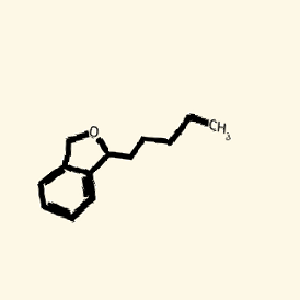 CCCCC[C]1OCc2ccccc21